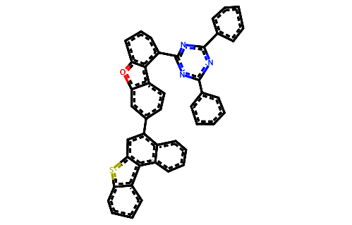 c1ccc(-c2nc(-c3ccccc3)nc(-c3cccc4oc5cc(-c6cc7sc8ccccc8c7c7ccccc67)ccc5c34)n2)cc1